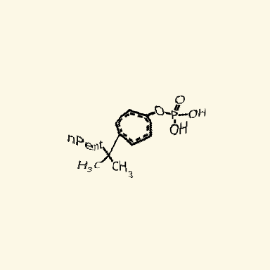 CCCCCC(C)(C)c1ccc(OP(=O)(O)O)cc1